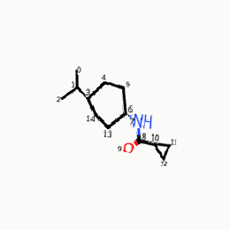 CC(C)[C@H]1CC[C@H](NC(=O)C2CC2)CC1